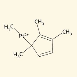 [CH3][Pt+2][C]1(C)C=CC(C)=C1C